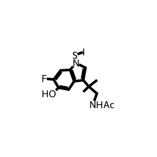 CC(=O)NCC(C)(C)c1cn(SI)c2cc(F)c(O)cc12